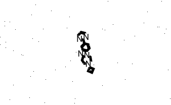 c1cnc(-c2ccc3c(c2)nc2n3CCN(C3CCC3)CC2)nc1